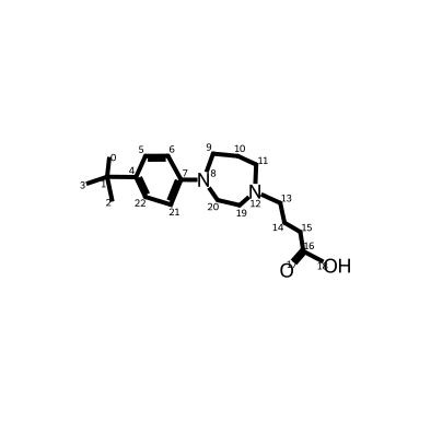 CC(C)(C)c1ccc(N2CCCN(CCCC(=O)O)CC2)cc1